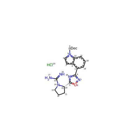 CCCCCCCCCCn1ccc2c(-c3noc([C@@H]4CCCN4C(=N)N)n3)cccc21.Cl